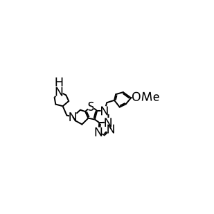 COc1ccc(CN2Cn3ncnc3-c3c2sc2c3CCN(CC3CCNCC3)C2)cc1